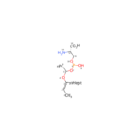 C/C=C(\CCCCCCC)OC(CCC)OP(O)OC[C@H](N)C(=O)O